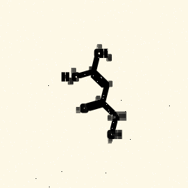 CC(C)=CC(=O)NO